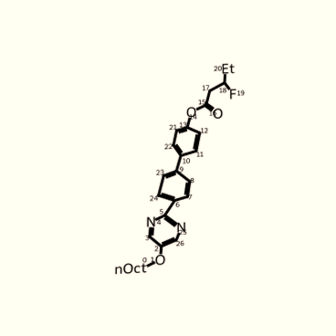 CCCCCCCCOc1cnc(-c2ccc(-c3ccc(OC(=O)CC(F)CC)cc3)cc2)nc1